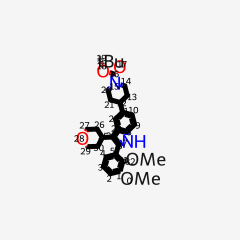 COc1cccc(-c2[nH]c3ccc(C4CCN(C(=O)OC(C)(C)C)CC4)cc3c2C2CCOCC2)c1OC